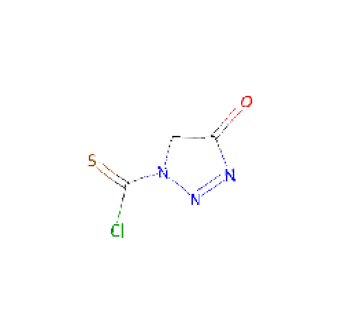 O=C1CN(C(=S)Cl)N=N1